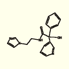 O=C(NCCn1ccnc1)C(O)(c1ccccc1)c1cccnc1